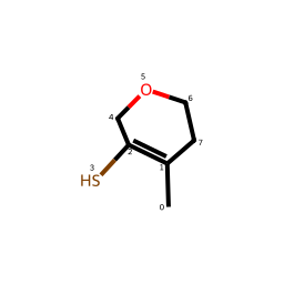 CC1=C(S)COCC1